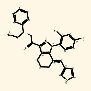 O=C(C[C@H](CO)c1ccccc1)c1nn(-c2ccc(Cl)cc2Cl)c2c1CCC/C2=C\c1ccoc1